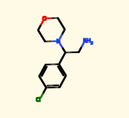 NCC(c1ccc(Cl)cc1)N1CCOCC1